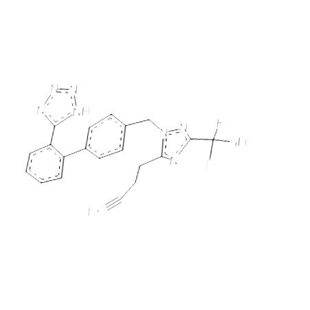 C#CCCc1nc(C(F)(F)CCC)nn1Cc1ccc(-c2ccccc2-c2nnn[nH]2)cc1